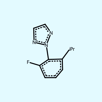 CC(C)c1cccc(F)c1-n1nccn1